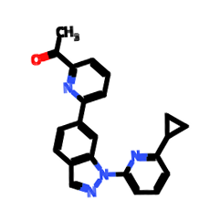 CC(=O)c1cccc(-c2ccc3cnn(-c4cccc(C5CC5)n4)c3c2)n1